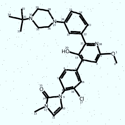 COc1cc(-c2ccc(-n3ccn(C)c3=O)c(Cl)c2)c(O)c(-c2cccc(N3CCN(C(C)(C)C)CC3)c2)n1